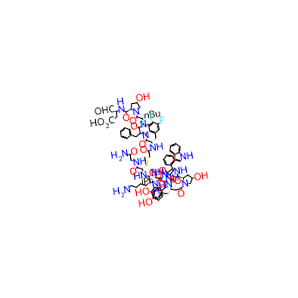 CCCC[C@@H](C(=O)N1C[C@H](O)C[C@@H]1C(=O)N[C@H](C=O)CC(=O)O)N(C)C(=O)C(Cc1ccccc1)N(C)C(=O)[C@H](Cc1cc(F)c(F)c(F)c1)NC(=O)CSC[C@H](NC(=O)[C@H](CCCCN)NC(=O)[C@H](Cc1ccc(O)cc1)NC(=O)[C@H](Cc1c[nH]c2ccccc12)NC(=O)[C@H]1C[C@@H](O)CN1C1OC1[C@H](Cc1ccc(O)cc1)NC(=O)C(Cc1ccccc1)N(C)C(=O)[C@@H](N)C(C)C)C(=O)NCC(N)=O